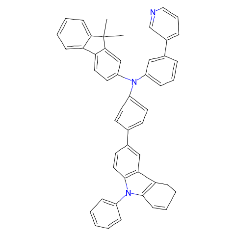 CC1(C)c2ccccc2-c2ccc(N(c3ccc(-c4ccc5c(c4)c4c(n5-c5ccccc5)C=CCC4)cc3)c3cccc(-c4cccnc4)c3)cc21